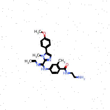 C=C/N=C(/Nc1ccc(C(=O)NCCN)c(C)c1)c1ncc(-c2ccc(OC)cc2)n1C